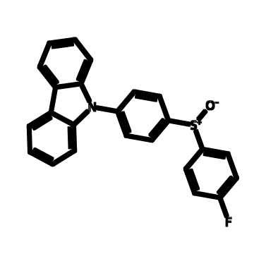 [O-][S+](c1ccc(F)cc1)c1ccc(-n2c3ccccc3c3ccccc32)cc1